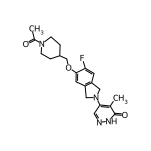 CC(=O)N1CCC(COc2cc3c(cc2F)CN(c2cn[nH]c(=O)c2C)C3)CC1